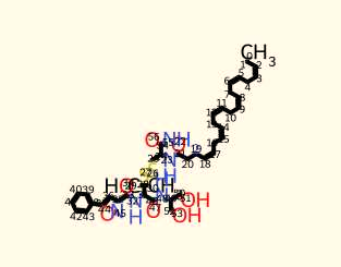 CC/C=C\C/C=C\C/C=C\C/C=C\C/C=C\C/C=C\CCC(=O)NC(CSSC(C)(C)C(NC(=O)c1cc(-c2ccccc2)on1)C(=O)NC(CO)CO)C(N)=O